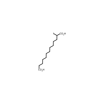 O=C(O)CCCCCCCCCCC(I)C(=O)O